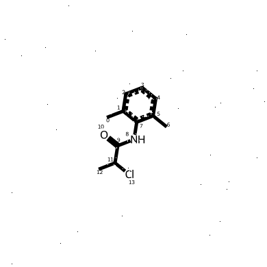 Cc1cccc(C)c1NC(=O)C(C)Cl